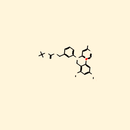 COc1cc(OC)c(CN(c2cccc(CNC(=O)OC(C)(C)C)c2)c2cc(Cl)ncn2)c(OC)c1